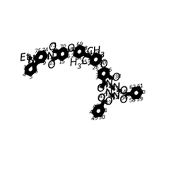 CCn1c2ccccc2c2cc(N3C(=O)c4ccc(Oc5ccc(C(C)(C)c6ccc(Oc7ccc8c(c7)C(=O)N(c7nc(OC(=O)c9ccccc9)nc(OC(=O)c9ccccc9)n7)C8=O)cc6)cc5)cc4C3=O)ccc21